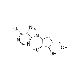 OCC1CC(n2cnc3c(Cl)ncnc32)[C@H](O)[C@@H]1O